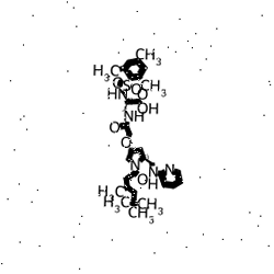 Cc1cc(C)c(S(=O)(=O)N[C@@H](CNC(=O)CO[C@@H]2C[C@@H](CNc3ccccn3)N(C(=O)CC(C)CC(C)(C)C)C2)C(=O)O)c(C)c1